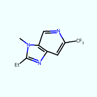 CCc1nc2cc(C(F)(F)F)ncc2n1C